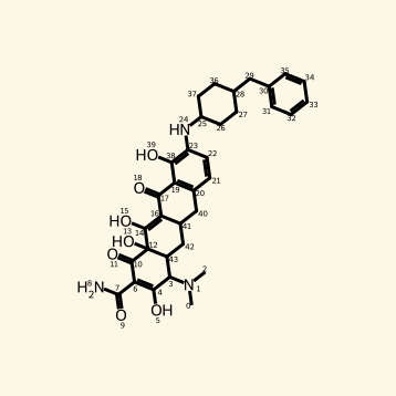 CN(C)C1C(O)=C(C(N)=O)C(=O)C2(O)C(O)=C3C(=O)c4c(ccc(NC5CCC(Cc6ccccc6)CC5)c4O)CC3CC12